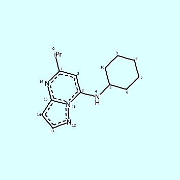 CC(C)c1cc(NC2CCCCC2)n2nccc2n1